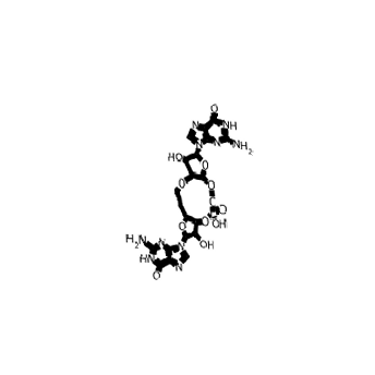 Nc1nc2c(ncn2C2OC3CCOC4C(OCP(=O)(O)OC3C2O)OC(n2cnc3c(=O)[nH]c(N)nc32)C4O)c(=O)[nH]1